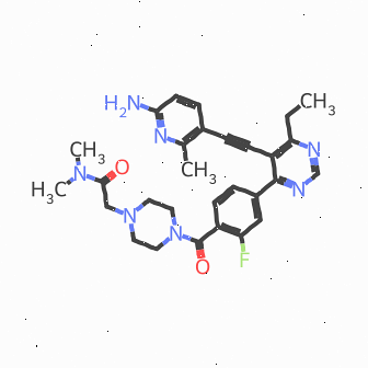 CCc1ncnc(-c2ccc(C(=O)N3CCN(CC(=O)N(C)C)CC3)c(F)c2)c1C#Cc1ccc(N)nc1C